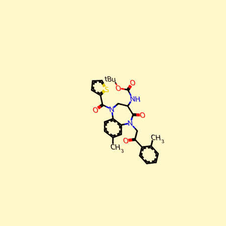 Cc1ccc2c(c1)N(CC(=O)c1ccccc1C)C(=O)C(NC(=O)OC(C)(C)C)CN2C(=O)c1cccs1